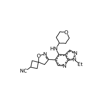 CCn1ncc2c(NC3CCOCC3)c(C3=NOC4(C3)CC(C#N)C4)cnc21